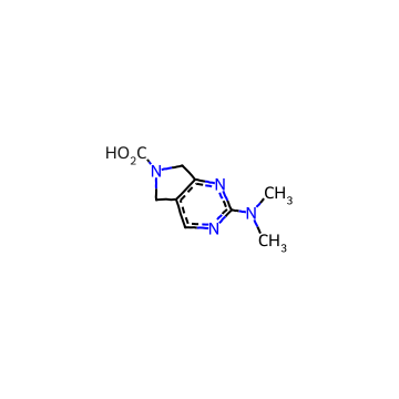 CN(C)c1ncc2c(n1)CN(C(=O)O)C2